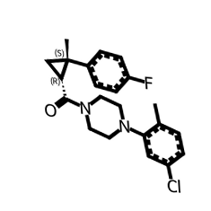 Cc1ccc(Cl)cc1N1CCN(C(=O)[C@@H]2C[C@]2(C)c2ccc(F)cc2)CC1